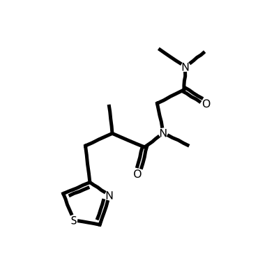 CC(Cc1cscn1)C(=O)N(C)CC(=O)N(C)C